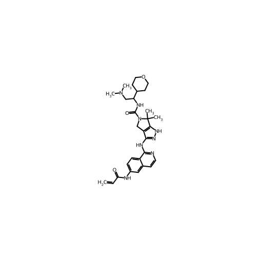 C=CC(=O)Nc1ccc2c(Nc3n[nH]c4c3CN(C(=O)NC(CN(C)C)C3CCOCC3)C4(C)C)nccc2c1